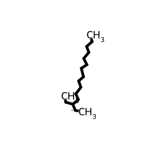 C[CH]C(CC)CCCCCCCCCCCC